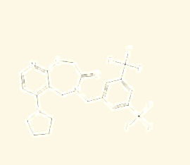 O=C1COc2nccc(N3CCCC3)c2CN1Cc1cc(C(F)(F)F)cc(C(F)(F)F)c1